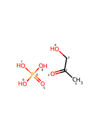 CC(=O)CO.O=P(O)(O)O